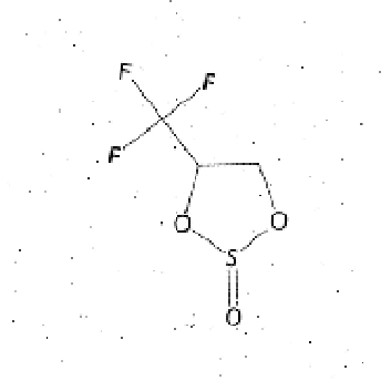 O=S1OCC(C(F)(F)F)O1